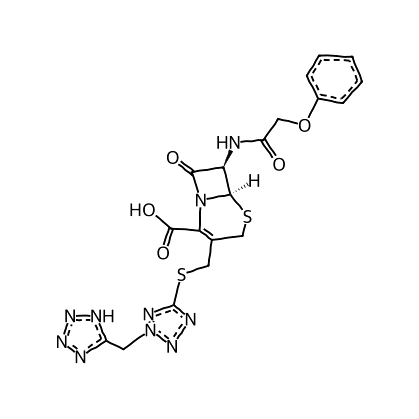 O=C(COc1ccccc1)N[C@@H]1C(=O)N2C(C(=O)O)=C(CSc3nnn(Cc4nnn[nH]4)n3)CS[C@H]12